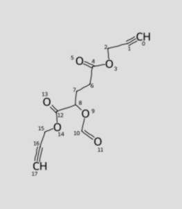 C#CCOC(=O)CCC(OC=O)C(=O)OCC#C